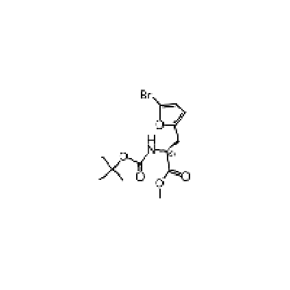 COC(=O)[C@H](Cc1ccc(Br)o1)NC(=O)OC(C)(C)C